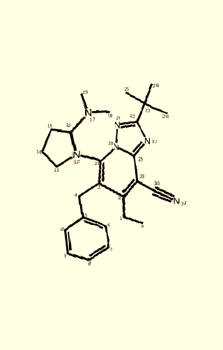 CCc1c(Cc2ccccc2)c(N2CCCC2N(C)C)n2nc(C(C)(C)C)nc2c1C#N